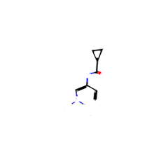 C=C/C(=C\N(C)C)NC(=O)C1CC1